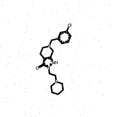 O=c1c2c([nH]n1CCN1CCCCC1)CN(Cc1cccc(Cl)c1)CC2